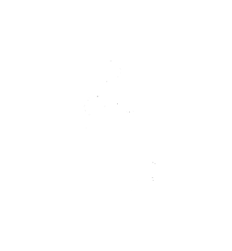 CCC(C(=O)O)c1ccc(-c2ccccc2)c(NC(=O)OC2CCC(NC(=O)OC(C)(C)C)CC2)c1